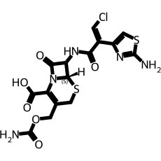 NC(=O)OCC1=C(C(=O)O)N2C(=O)C(NC(=O)C(=CCl)c3csc(N)n3)[C@@H]2SC1